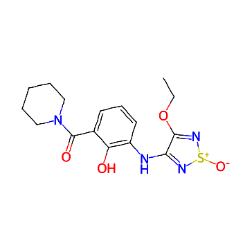 CCOc1n[s+]([O-])nc1Nc1cccc(C(=O)N2CCCCC2)c1O